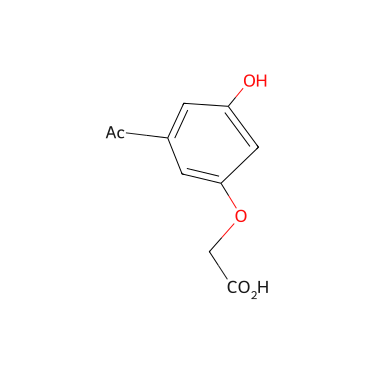 CC(=O)c1cc(O)cc(OCC(=O)O)c1